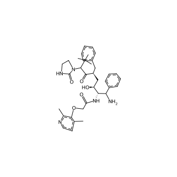 Cc1ccnc(C)c1OCC(=O)N[C@@H](C(N)c1ccccc1)[C@@H](O)C[C@H](Cc1ccccc1)C(=O)C(N1CCNC1=O)C(C)(C)C